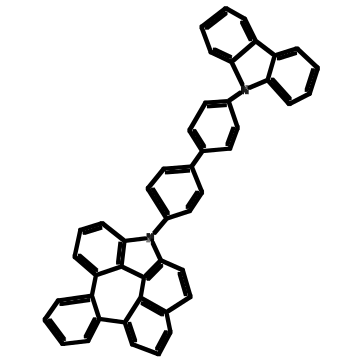 c1ccc2c(c1)-c1cccc3ccc4c(c13)c1c-2cccc1n4-c1ccc(-c2ccc(-n3c4ccccc4c4ccccc43)cc2)cc1